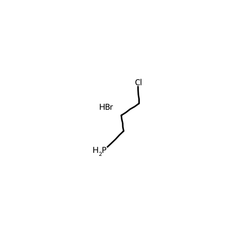 Br.PCCCCl